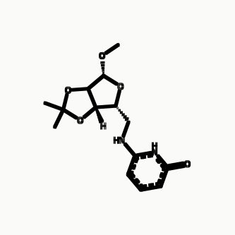 CO[C@@H]1O[C@H](CNc2cccc(=O)[nH]2)[C@@H]2OC(C)(C)OC12